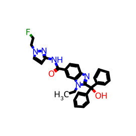 CCn1c(C(O)(c2ccccc2)c2ccccc2)nc2ccc(C(=O)Nc3ccn(CCF)n3)cc21